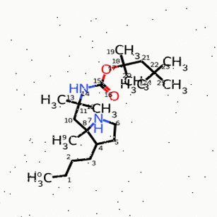 CCCCC1CCNC1(C)CC(C)(C)NC(=O)OC(C)(C)CC(C)(C)C